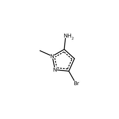 Cn1nc(Br)cc1N